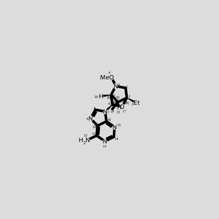 CC[C@@]12CN(OC)[C@@H]([C@H](n3cnc4c(N)ncnc43)O1)[C@@H]2C